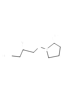 N[C@H](CON1CCC[C@H]1C=O)CC(=O)O